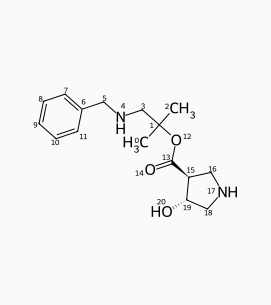 CC(C)(CNCc1ccccc1)OC(=O)[C@H]1CNC[C@@H]1O